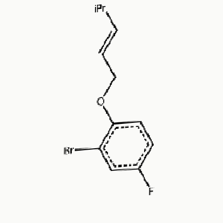 CC(C)C=CCOc1ccc(F)cc1Br